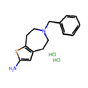 Cl.Cl.Nc1cc2c(s1)CCN(Cc1ccccc1)CC2